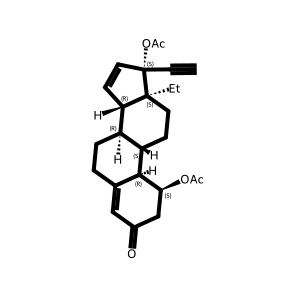 C#C[C@]1(OC(C)=O)C=C[C@H]2[C@@H]3CCC4=CC(=O)C[C@H](OC(C)=O)[C@@H]4[C@H]3CC[C@@]21CC